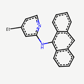 CCc1ccnc(Nc2c3ccccc3cc3ccccc23)c1